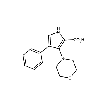 O=C(O)c1[nH]cc(-c2ccccc2)c1N1CCOCC1